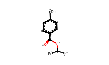 CCCCCCCCCCc1ccc(C(=O)OC(C(C)C)C(C)C)cc1